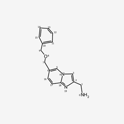 NCc1cn2cc(COCc3ccccc3)ccc2n1